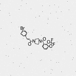 O=C(/C=C/c1ccc(Br)cc1)N1CCN(C(=O)c2cccc3c2OC(F)(F)O3)CC1